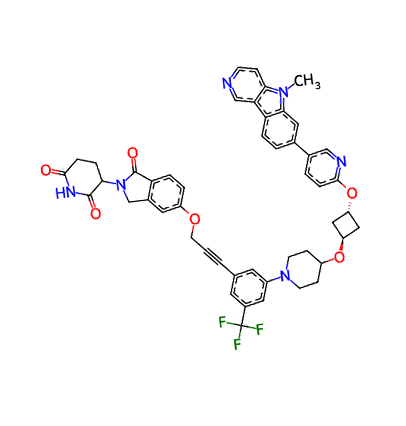 Cn1c2ccncc2c2ccc(-c3ccc(O[C@H]4C[C@H](OC5CCN(c6cc(C#CCOc7ccc8c(c7)CN(C7CCC(=O)NC7=O)C8=O)cc(C(F)(F)F)c6)CC5)C4)nc3)cc21